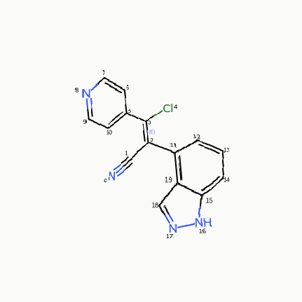 N#C/C(=C(/Cl)c1ccncc1)c1cccc2[nH]ncc12